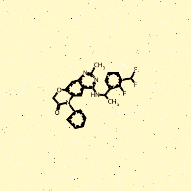 Cc1nc(NC(C)c2cccc(C(F)F)c2F)c2cc3c(cc2n1)OCC(=O)N3c1ccccc1